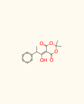 CC(C(O)=C1C(=O)OC(C)(C)OC1=O)c1ccccc1